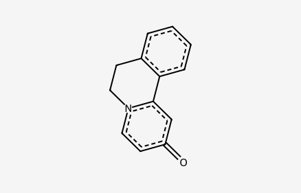 O=c1ccn2c(c1)-c1ccccc1CC2